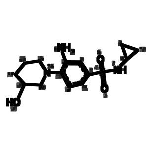 Nc1cc(S(=O)(=O)NC2CC2)ccc1N1CCCC(O)C1